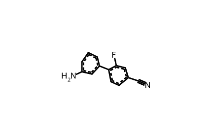 N#Cc1ccc(-c2cccc(N)c2)c(F)c1